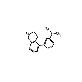 CC(C)c1cccc(-c2cccc3c2CCNC3)c1